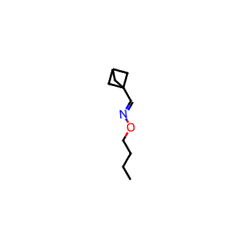 CCCCON=CC12CC(C1)C2